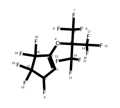 FC1C=C(OC(C(F)(F)F)(C(F)(F)F)C(F)(F)F)C(F)(F)C1(F)F